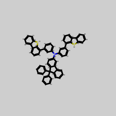 c1ccc(C2(c3ccccc3)c3ccccc3-c3cc(N(c4cccc(-c5cccc6c5sc5ccccc56)c4)c4cccc(-c5cccc6c5sc5ccccc56)c4)ccc32)cc1